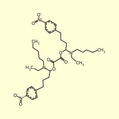 CCCCCN(CC)C(CCCc1ccc([N+](=O)[O-])cc1)OC(=O)C(=O)OC(CCCc1ccc([N+](=O)[O-])cc1)N(CC)CCCCC